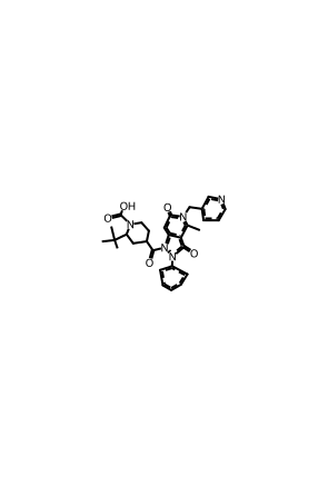 Cc1c2c(=O)n(-c3ccccc3)n(C(=O)C3CCN(C(=O)O)C(C(C)(C)C)C3)c2cc(=O)n1Cc1cccnc1